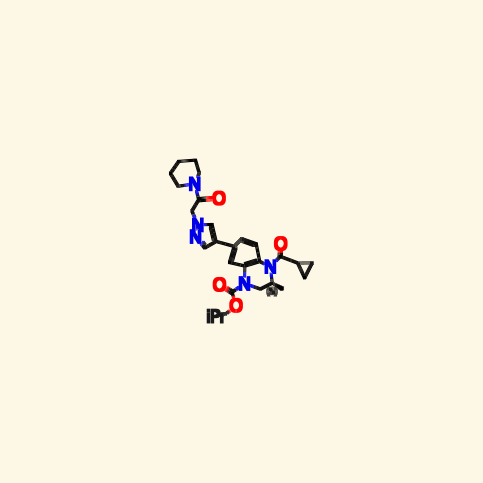 CC(C)OC(=O)N1C[C@H](C)N(C(=O)C2CC2)c2ccc(-c3cnn(CC(=O)N4CCCCC4)c3)cc21